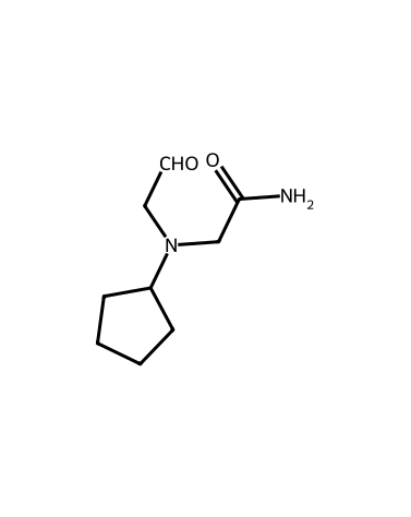 NC(=O)CN(CC=O)C1CCCC1